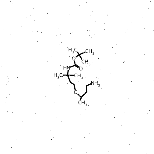 CC(CCN)OCCC(C)(C)NC(=O)OC(C)(C)C